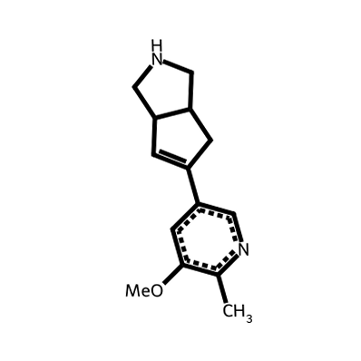 COc1cc(C2=CC3CNCC3C2)cnc1C